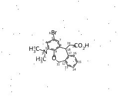 CN(C)c1cc(Br)cc2c1OCc1ccccc1C2CC(=O)O